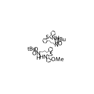 CN(CCCCc1ccccc1Sc1c[nH]c2ccccc12)C(=O)OC(C)(C)C.COc1cccc2[nH]cc(Sc3ccccc3CCCCNC(=O)OC(C)(C)C)c12